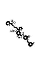 COc1cc2ncnc(Nc3ccc(OCc4cccc(F)c4)c(Br)c3)c2cc1C1(CCCOCC(c2ccccn2)=S(=O)=O)CC=CO1